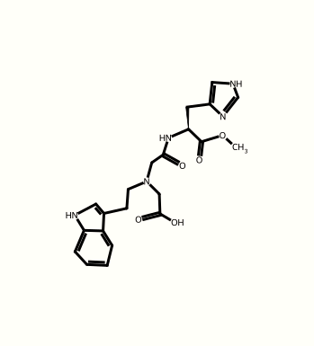 COC(=O)[C@H](Cc1c[nH]cn1)NC(=O)CN(CCc1c[nH]c2ccccc12)CC(=O)O